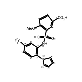 COc1ccc(C(=O)O)cc1S(=O)(=O)Nc1cc(C(F)(F)F)ccc1-n1cccc1